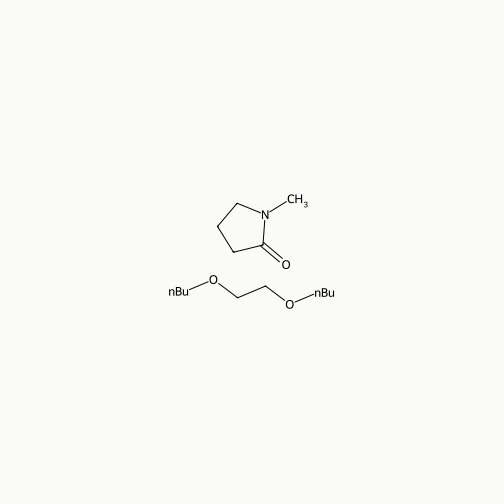 CCCCOCCOCCCC.CN1CCCC1=O